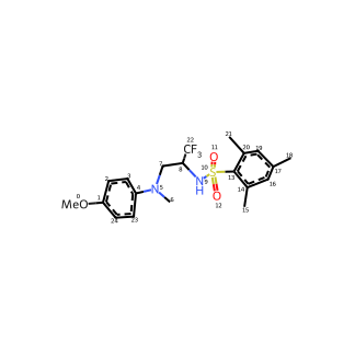 COc1ccc(N(C)CC(NS(=O)(=O)c2c(C)cc(C)cc2C)C(F)(F)F)cc1